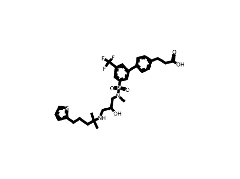 CN(CC(O)CNC(C)(C)CCCc1cccs1)S(=O)(=O)c1cc(-c2ccc(CCC(=O)O)cc2)cc(C(F)(F)F)c1